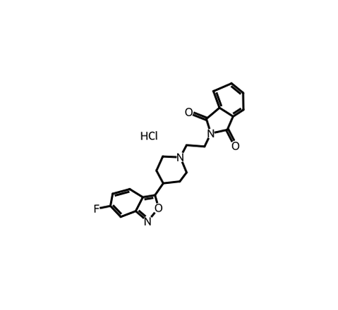 Cl.O=C1c2ccccc2C(=O)N1CCN1CCC(c2onc3cc(F)ccc23)CC1